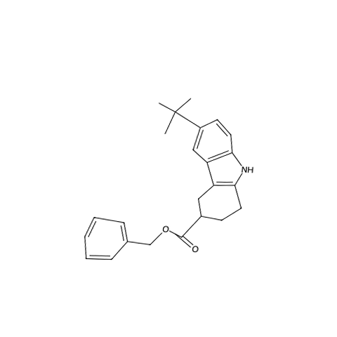 CC(C)(C)c1ccc2[nH]c3c(c2c1)CC(C(=O)OCc1ccccc1)CC3